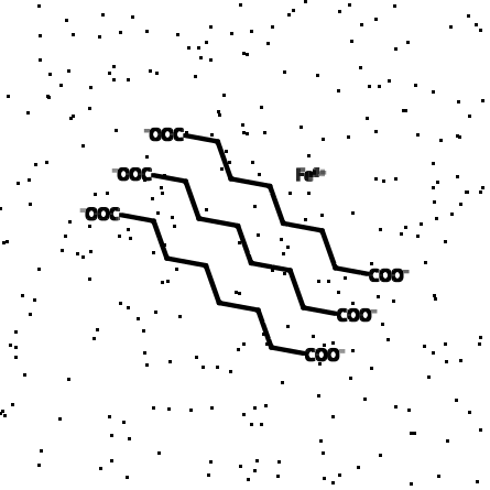 O=C([O-])CCCCCCC(=O)[O-].O=C([O-])CCCCCCC(=O)[O-].O=C([O-])CCCCCCC(=O)[O-].[Fe+6]